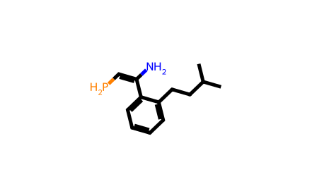 CC(C)CCc1ccccc1/C(N)=C\P